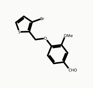 COc1cc(C=O)ccc1OCc1sccc1Br